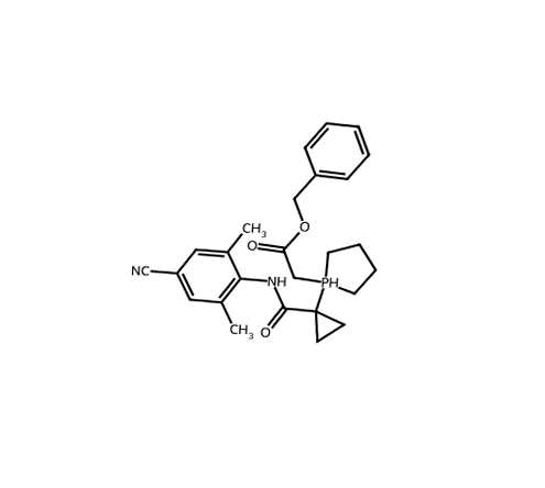 Cc1cc(C#N)cc(C)c1NC(=O)C1([PH]2(CC(=O)OCc3ccccc3)CCCC2)CC1